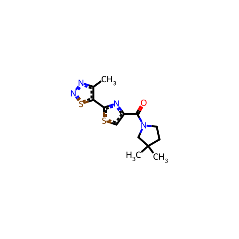 Cc1nnsc1-c1nc(C(=O)N2CCC(C)(C)C2)cs1